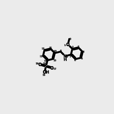 COc1ccccc1NCc1cccc(S(=O)(=O)O)c1